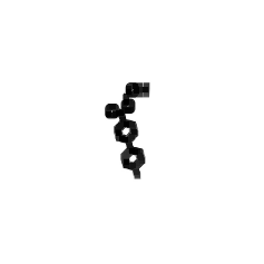 Cc1ccc(-c2ccc(C(=O)OCO)cc2)cc1